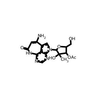 CC(=O)OC1C(CO)OC(n2cc3c4c(ncnc42)NC(=O)C=C3N)C1(C)O